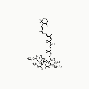 CC(=O)N[C@@H]1[C@@H](OC(C)CN(C(=O)[C@H](C)N)[C@H](CCC(=O)O)C(N)=O)[C@H](O)[C@@H](COC(=O)CCNC(=O)C=C(C)C=CC=C(C)C=CC2=C(C)CCCC2(C)C)O[C@@H]1O